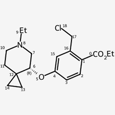 CCOC(=O)c1ccc(O[C@H]2CN(CC)CCC23CC3)cc1CCl